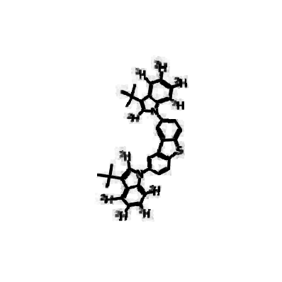 [2H]c1c([2H])c([2H])c2c(c1[2H])c(C(C)(C)C)c([2H])n2-c1ccc2sc3ccc(-n4c([2H])c(C(C)(C)C)c5c([2H])c([2H])c([2H])c([2H])c54)cc3c2c1